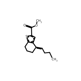 CCCC=C1CCCc2sc(C(=O)OC)cc21